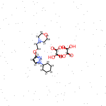 O=C(O)C(=O)O.O=C(O)C(=O)O.c1cn(C2CCCCC2)nc1OCCN1CCOCC1